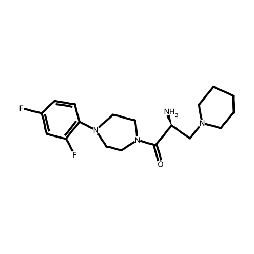 N[C@@H](CN1CCCCC1)C(=O)N1CCN(c2ccc(F)cc2F)CC1